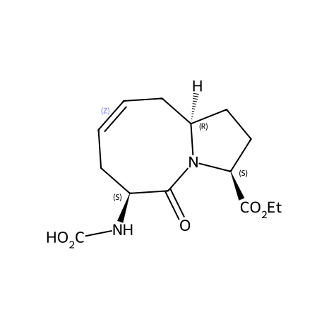 CCOC(=O)[C@@H]1CC[C@@H]2C/C=C\C[C@H](NC(=O)O)C(=O)N21